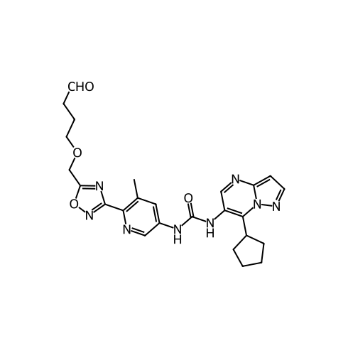 Cc1cc(NC(=O)Nc2cnc3ccnn3c2C2CCCC2)cnc1-c1noc(COCCCC=O)n1